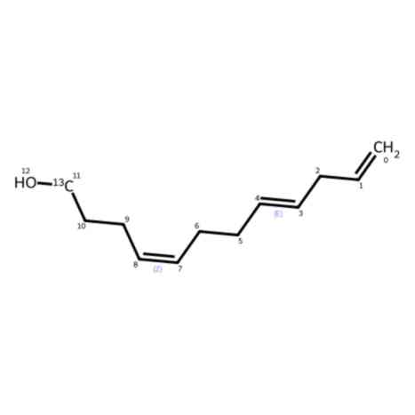 C=CC/C=C/CC/C=C\CC[13CH2]O